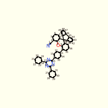 N#Cc1cccc2c1Oc1c(-c3ccc(-c4nc(-c5ccccc5)nc(-c5ccccc5)n4)cc3)cccc1C21c2ccccc2-c2ccccc21